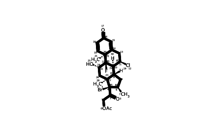 CC(=O)OCC(=O)[C@@]1(Br)[C@H](C)C[C@H]2[C@@H]3[C@H](Cl)CC4=CC(=O)C=C[C@]4(C)[C@@]3(F)[C@@H](O)C[C@@]21C